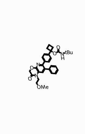 COCCN1C(=O)COc2nc(-c3ccc(C4(OC(=O)NC(C)(C)C)CCC4)cc3)c(-c3ccccc3)cc21